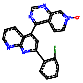 [O-][n+]1ccc2c(-c3cc(-c4ccccc4F)nc4ncccc34)ncnc2c1